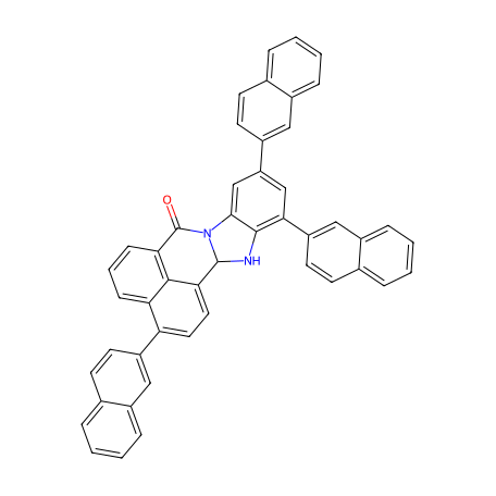 O=C1c2cccc3c(-c4ccc5ccccc5c4)ccc(c23)C2Nc3c(-c4ccc5ccccc5c4)cc(-c4ccc5ccccc5c4)cc3N12